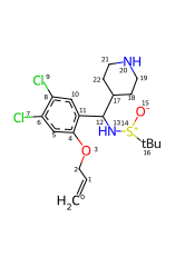 C=CCOc1cc(Cl)c(Cl)cc1C(N[S+]([O-])C(C)(C)C)C1CCNCC1